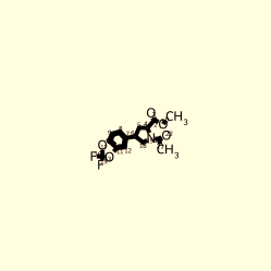 COC(=O)C1CC(c2ccc3c(c2)OC(F)(F)O3)CN1C(C)=O